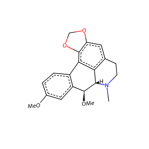 COc1ccc2c(c1)[C@H](OC)[C@@H]1c3c(cc4c(c3-2)OCO4)CCN1C